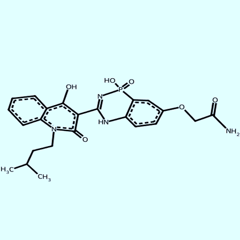 CC(C)CCn1c(=O)c(C2=NP(=O)(O)c3cc(OCC(N)=O)ccc3N2)c(O)c2ccccc21